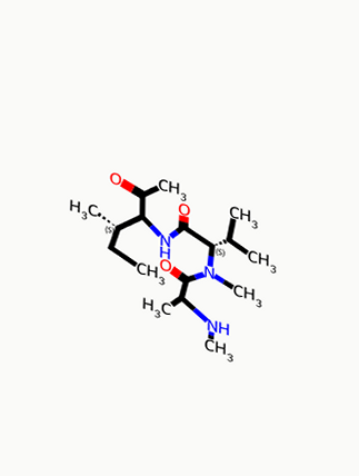 CC[C@H](C)C(NC(=O)[C@H](C(C)C)N(C)C(=O)C(C)NC)C(C)=O